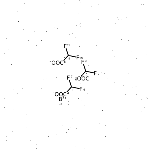 O=C([O-])C(F)F.O=C([O-])C(F)F.O=C([O-])C(F)F.[B+3]